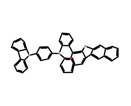 c1ccc(N(c2ccc(-n3c4ccccc4c4ccccc43)cc2)c2ccccc2-c2cccc3c2oc2cc4ccccc4cc23)cc1